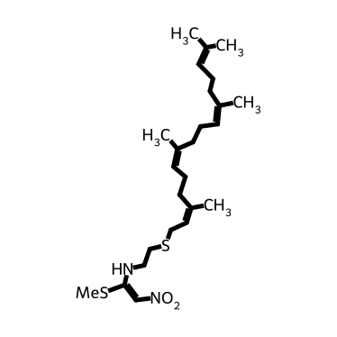 CSC(=C[N+](=O)[O-])NCCSCC=C(C)CCC=C(C)CCC=C(C)CCC=C(C)C